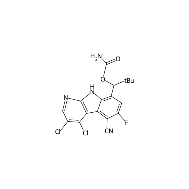 CC(C)(C)C(OC(N)=O)c1cc(F)c(C#N)c2c1[nH]c1ncc(Cl)c(Cl)c12